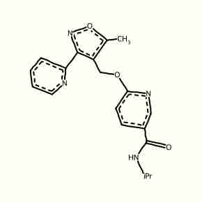 Cc1onc(-c2ccccn2)c1COc1ccc(C(=O)NC(C)C)cn1